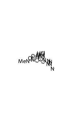 CN[C@H]1CN(c2ccc(-c3ccc(-c4nnn(CCN(C)C)n4)nc3)c(F)c2)C(=O)O1.Cl.Cl.Cl.O